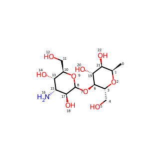 C[C@H]1O[C@H](CO)[C@@H](OC2O[C@H](CO)[C@@H](O)[C@@H](N)[C@@H]2O)[C@H](O)[C@H]1O